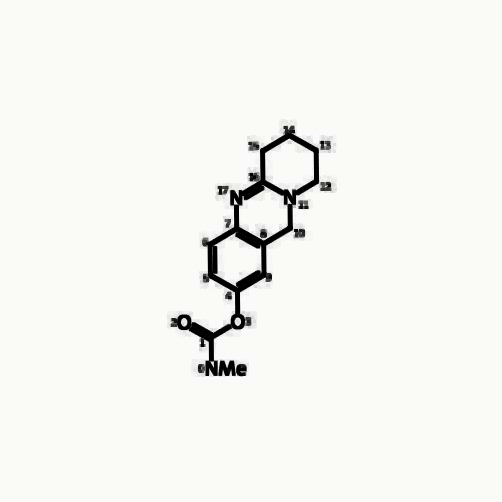 CNC(=O)Oc1ccc2c(c1)CN1CCCCC1=N2